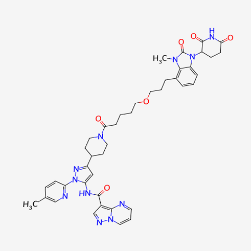 Cc1ccc(-n2nc(C3CCN(C(=O)CCCCOCCCc4cccc5c4n(C)c(=O)n5C4CCC(=O)NC4=O)CC3)cc2NC(=O)c2cnn3cccnc23)nc1